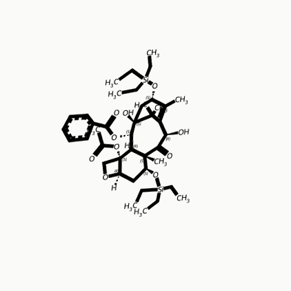 CC[Si](CC)(CC)O[C@H]1C[C@@]2(O)[C@@H](OC(=O)c3ccccc3)[C@@H]3[C@]4(OC(C)=O)CO[C@@H]4C[C@H](O[Si](CC)(CC)CC)[C@@]3(C)C(=O)[C@H](O)C(=C1C)C2(C)C